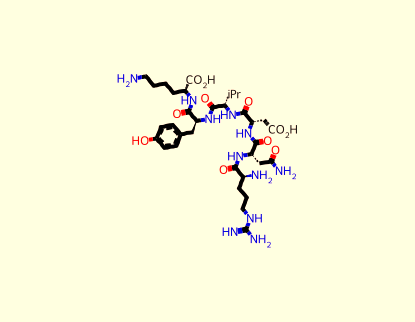 CC(C)[C@H](NC(=O)[C@H](CC(=O)O)NC(=O)[C@H](CC(N)=O)NC(=O)[C@@H](N)CCCNC(=N)N)C(=O)N[C@@H](Cc1ccc(O)cc1)C(=O)N[C@@H](CCCCN)C(=O)O